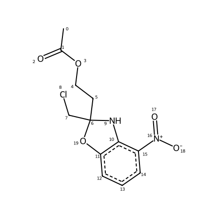 CC(=O)OCCC1(CCl)Nc2c(cccc2[N+](=O)[O-])O1